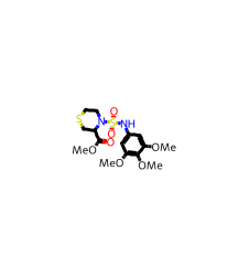 COC(=O)C1CSCCN1S(=O)(=O)Nc1cc(OC)c(OC)c(OC)c1